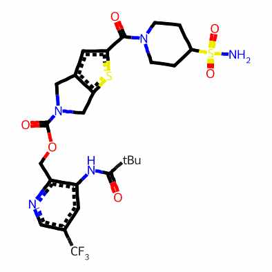 CC(C)(C)C(=O)Nc1cc(C(F)(F)F)cnc1COC(=O)N1Cc2cc(C(=O)N3CCC(S(N)(=O)=O)CC3)sc2C1